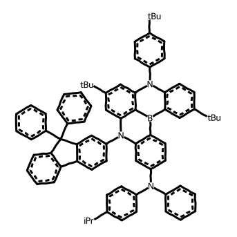 CC(C)c1ccc(N(c2ccccc2)c2ccc3c(c2)N(c2ccc4c(c2)C(c2ccccc2)(c2ccccc2)c2ccccc2-4)c2cc(C(C)(C)C)cc4c2B3c2cc(C(C)(C)C)ccc2N4c2ccc(C(C)(C)C)cc2)cc1